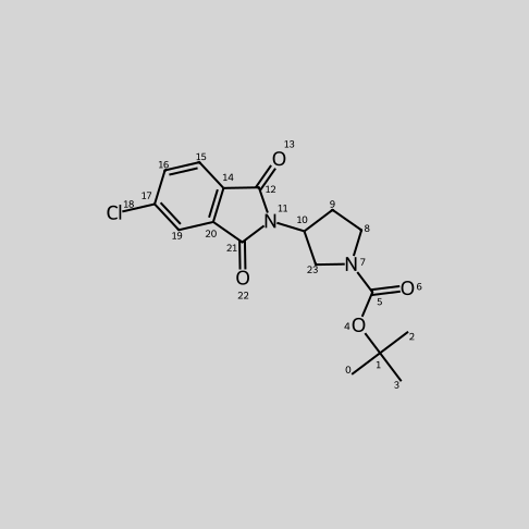 CC(C)(C)OC(=O)N1CCC(N2C(=O)c3ccc(Cl)cc3C2=O)C1